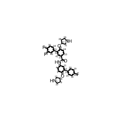 O=C(Nc1ccc(O[C@@H]2CCNC2)c(-c2ccc(F)cc2)c1)c1ccc(O[C@H]2CCNC2)c(-c2ccc(F)c(F)c2)c1